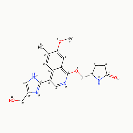 CC(C)Oc1cc2c(OC[C@@H]3CCC(=O)N3)ncc(-c3nc(CO)c[nH]3)c2cc1C#N